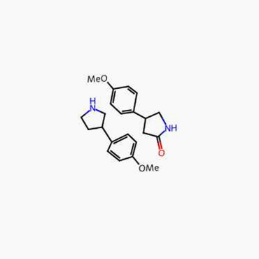 COc1ccc(C2CCNC2)cc1.COc1ccc(C2CNC(=O)C2)cc1